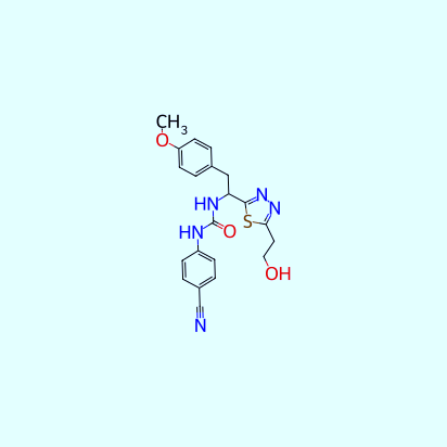 COc1ccc(CC(NC(=O)Nc2ccc(C#N)cc2)c2nnc(CCO)s2)cc1